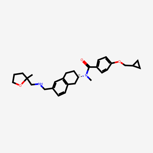 CN(C(=O)c1ccc(OCC2CC2)cc1)[C@H]1CCc2cc(CNCC3(C)CCCO3)ccc2C1